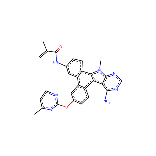 C=C(C)C(=O)Nc1ccc2c(c1)c1cc(Oc3nccc(C)n3)ccc1c1c3c(N)ncnc3n(C)c21